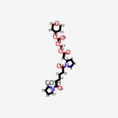 O=C(C[C@H]1CCCN1C(=O)CCCCC(=O)N1CCC[C@@H]1C(=O)O)OCOC(=O)OC1CCOCC1